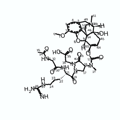 COc1ccc2c3c1O[C@H]1C(OC(=O)N(C)[C@H]4CN(C(=O)[C@H](CCCNC(=N)N)NC(=O)CNC(C)=O)N(CC(=O)O)C4=O)=CC[C@@]4(O)[C@@H](C2)N(C)CC[C@]314